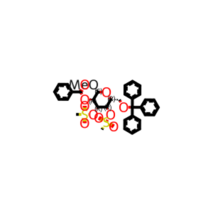 CO[C@H]1O[C@H](COC(c2ccccc2)(c2ccccc2)c2ccccc2)[C@@H](OS(C)(=O)=O)[C@H](OS(C)(=O)=O)[C@H]1OC(=O)c1ccccc1